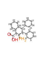 O=C(O)c1c(P)c(-c2ccccc2)c(-c2ccccc2)c2ccccc12